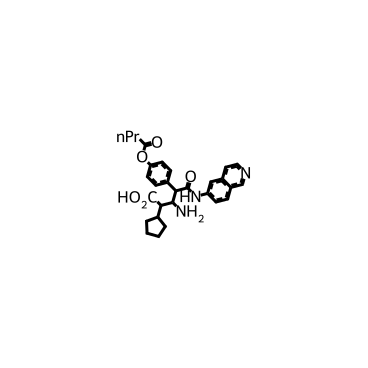 CCCC(=O)Oc1ccc(C(C(=O)Nc2ccc3cnccc3c2)C(N)C(C(=O)O)C2CCCC2)cc1